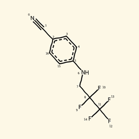 N#Cc1ccc(NCC(F)(F)C(F)(F)F)cc1